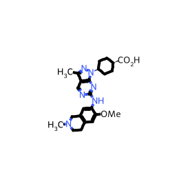 COc1cc2c(cc1Nc1ncc3c(C)nn([C@H]4CC[C@@H](C(=O)O)CC4)c3n1)CN(C)CC2